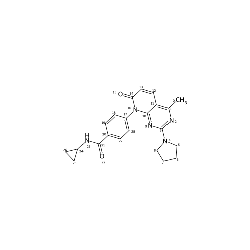 Cc1nc(N2CCCC2)nc2c1ccc(=O)n2-c1ccc(C(=O)NC2CC2)cc1